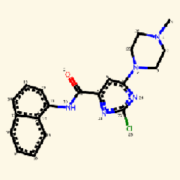 CN1CCN(c2cc(C(=O)Nc3cccc4ccccc34)nc(Cl)n2)CC1